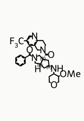 COC1COCCC1N[C@@H]1C[C@H]2CN(C(=O)c3ccccc3)C[C@@]2(C(=O)N2CCc3ncc(C(F)(F)F)cc3C2)C1